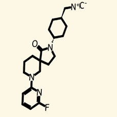 [C-]#[N+]C[C@H]1CC[C@H](N2CCC3(CCCN(c4cccc(F)n4)C3)C2=O)CC1